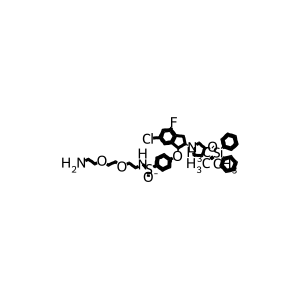 CC(C)(C)[Si](O[C@@H]1CCN([C@H]2Cc3c(F)cc(Cl)cc3[C@@H]2Oc2ccc([S+]([O-])NCCOCCOCCN)cc2)C1)(c1ccccc1)c1ccccc1